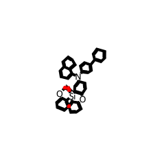 c1ccc(-c2ccc(N(c3ccc4c(c3)[Si]3(c5ccccc5Oc5ccccc53)c3ccccc3O4)c3cccc4ccccc34)cc2)cc1